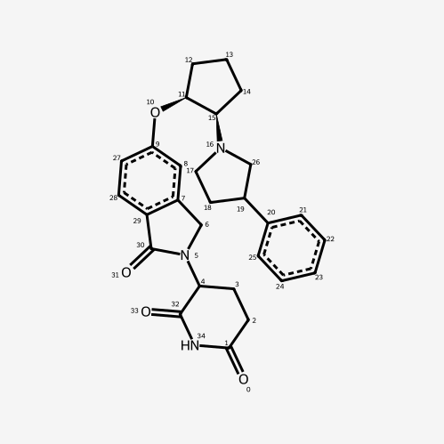 O=C1CCC(N2Cc3cc(O[C@H]4CCC[C@H]4N4CCC(c5ccccc5)C4)ccc3C2=O)C(=O)N1